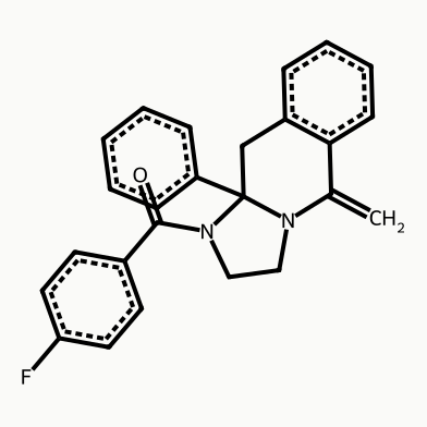 C=C1c2ccccc2CC2(c3ccccc3)N1CCN2C(=O)c1ccc(F)cc1